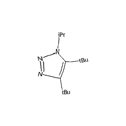 CC(C)n1nnc(C(C)(C)C)c1C(C)(C)C